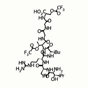 CC[C@H](C)[C@H](NC(=O)[C@@H](CCCNC(=N)N)NC(=O)[C@H](CC(C)C)NC(=O)[C@@H](N)[C@H](O)C(C)C)C(=O)N[C@H](C(=O)NCC(=O)NCC(=O)N[C@@H](COC(=O)C(F)(F)F)C(=O)O)[C@H](C)OC(=O)C(F)(F)F